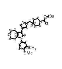 COc1ncc(-n2nc(-c3cnn(CC4(F)CCN(C(=O)OC(C)(C)C)CC4)c3)c3c2CCOCC3)cc1C